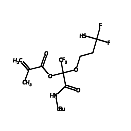 C=C(C)C(=O)OC(OCCC(F)(F)S)(C(=O)NC(C)(C)C)C(F)(F)F